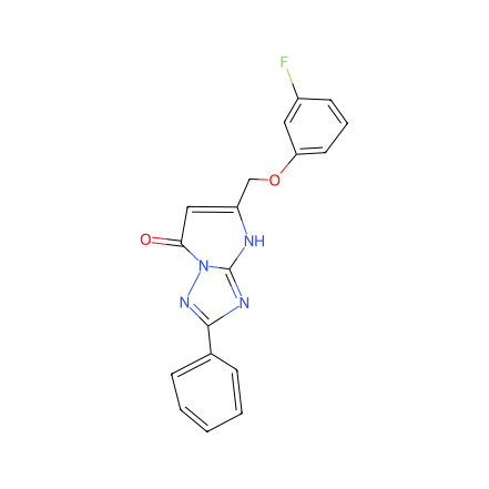 O=c1cc(COc2cccc(F)c2)[nH]c2nc(-c3ccccc3)nn12